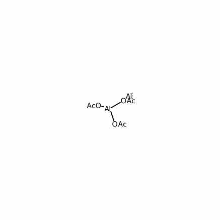 CC(=O)[O][Al]([O]C(C)=O)[O]C(C)=O.[Al]